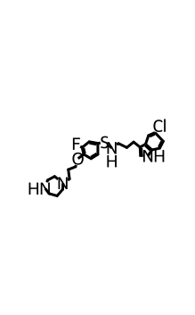 Fc1cc(SNCCCc2c[nH]c3ccc(Cl)cc23)ccc1OCCCN1CCCNCC1